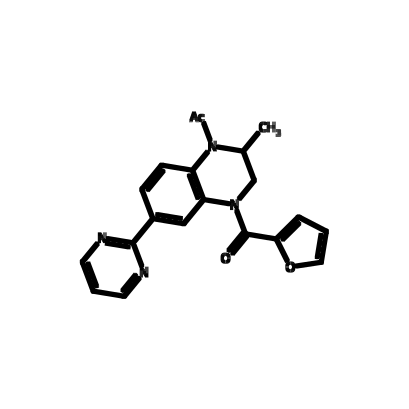 CC(=O)N1c2ccc(-c3ncccn3)cc2N(C(=O)c2ccco2)CC1C